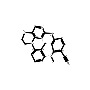 COc1cc(Nc2ncc3c(n2)N(c2ccccc2C)CCO3)ccc1C#N